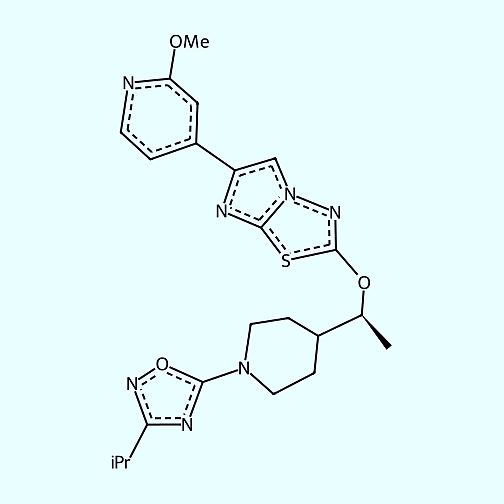 COc1cc(-c2cn3nc(O[C@@H](C)C4CCN(c5nc(C(C)C)no5)CC4)sc3n2)ccn1